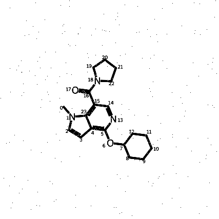 Cn1ccc2c(OC3CCCCC3)ncc(C(=O)N3CCCC3)c21